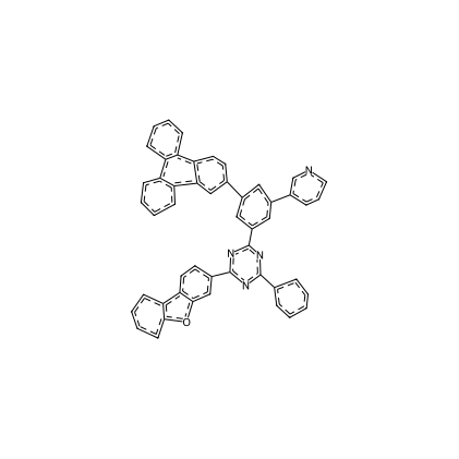 c1ccc(-c2nc(-c3cc(-c4cccnc4)cc(-c4ccc5c6ccccc6c6ccccc6c5c4)c3)nc(-c3ccc4c(c3)oc3ccccc34)n2)cc1